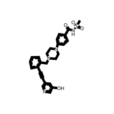 CS(=O)(=O)NC(=O)c1ccc(N2CCN(Cc3ccccc3C#Cc3cncc(O)c3)CC2)cc1